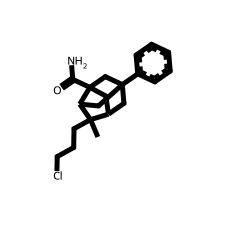 CC1(CCCCl)C2CC3(c4ccccc4)CC1C(C(N)=O)(C2)C3